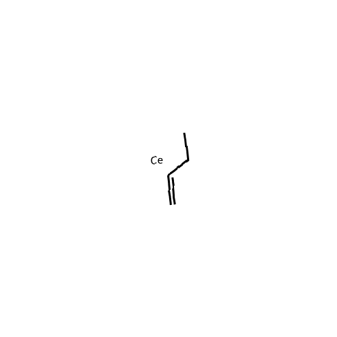 C=CCC.[Ce]